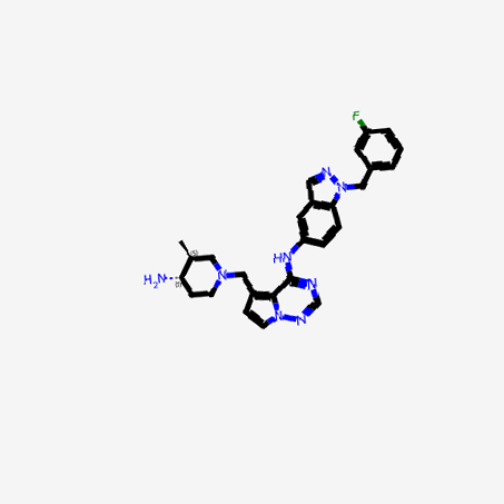 C[C@H]1CN(Cc2ccn3ncnc(Nc4ccc5c(cnn5Cc5cccc(F)c5)c4)c23)CC[C@@H]1N